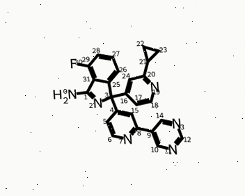 NC1=NC(c2ccnc(-c3cncnc3)c2)(c2ccnc(C3CC3)c2)c2cccc(F)c21